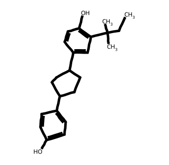 CCC(C)(C)c1cc(C2CCC(c3ccc(O)cc3)CC2)ccc1O